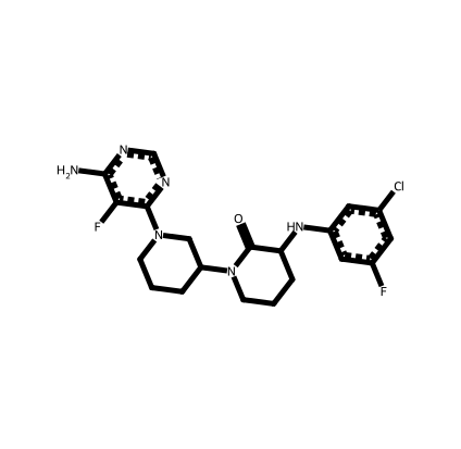 Nc1ncnc(N2CCCC(N3CCCC(Nc4cc(F)cc(Cl)c4)C3=O)C2)c1F